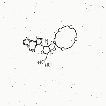 Cl.OC[C@H]1O[C@@H](n2cnc3c2ncn2ccnc32)[C@@H]2OC3(CCCCCCCCCCCCCC3)O[C@@H]21